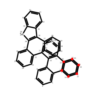 c1ccc(-c2ccccc2-c2c(-c3ccccc3)nnnc2-c2ccccc2-c2[se]c3ccccc3c2-c2ccccc2)cc1